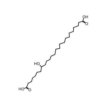 O=C(O)CCCCCCCCCCCCCCCCC(O)CCCCCCC(=O)O